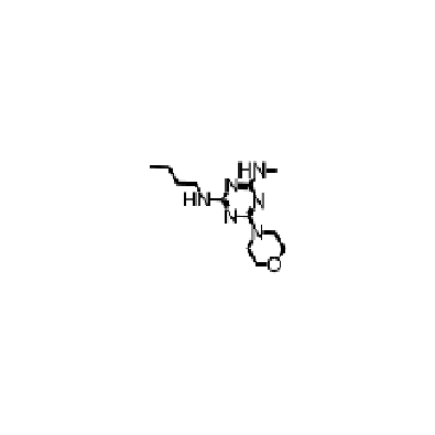 CCCCNc1nc(NC)nc(N2CCOCC2)n1